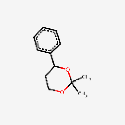 CC1(C)OCCC(c2[c]cccc2)O1